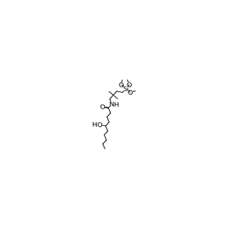 CCCCCC(O)CCCC(=O)NCC(C)(C)CC[Si](OC)(OC)OC